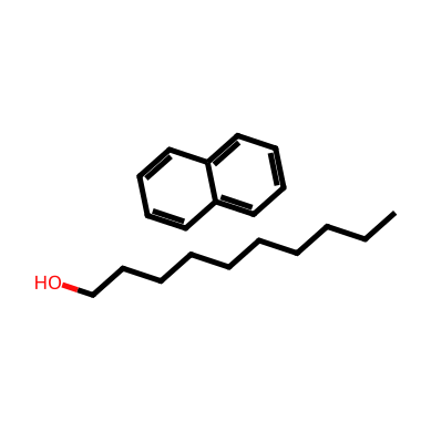 CCCCCCCCCCO.c1ccc2ccccc2c1